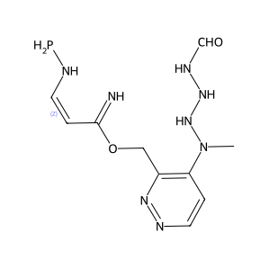 CN(NNNC=O)c1ccnnc1COC(=N)/C=C\NP